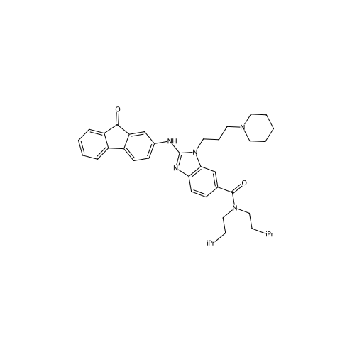 CC(C)CCN(CCC(C)C)C(=O)c1ccc2nc(Nc3ccc4c(c3)C(=O)c3ccccc3-4)n(CCCN3CCCCC3)c2c1